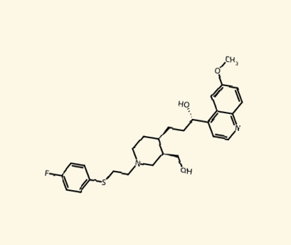 COc1ccc2nccc([C@@H](O)CC[C@@H]3CCN(CCSc4ccc(F)cc4)C[C@@H]3CO)c2c1